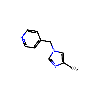 O=C(O)c1cn(Cc2ccncc2)cn1